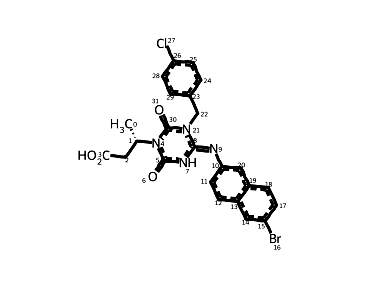 C[C@@H](CC(=O)O)n1c(=O)[nH]/c(=N\c2ccc3cc(Br)ccc3c2)n(Cc2ccc(Cl)cc2)c1=O